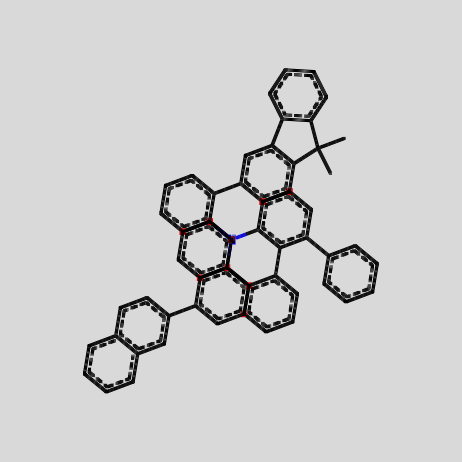 CC1(C)c2ccccc2-c2cc(-c3ccccc3N(c3cccc(-c4ccc5ccccc5c4)c3)c3cccc(-c4ccccc4)c3-c3ccccc3-c3ccccc3)ccc21